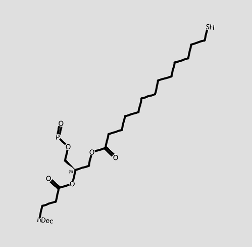 CCCCCCCCCCCCC(=O)O[C@@H](COP=O)COC(=O)CCCCCCCCCCCCS